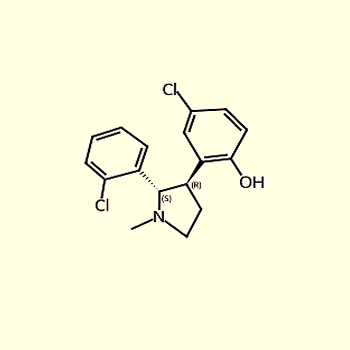 CN1CC[C@H](c2cc(Cl)ccc2O)[C@H]1c1ccccc1Cl